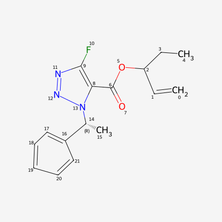 C=CC(CC)OC(=O)c1c(F)nnn1[C@H](C)c1ccccc1